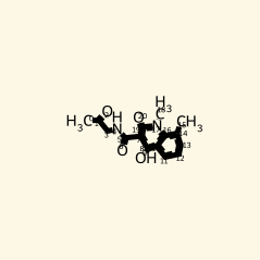 CC(=O)CNC(=O)c1c(O)c2cccc(C)c2n(C)c1=O